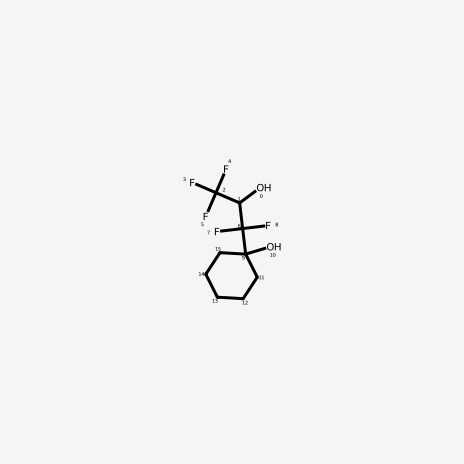 OC(C(F)(F)F)C(F)(F)C1(O)CCCCC1